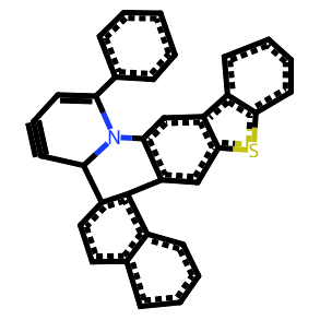 C1#CC2c3ccc4ccccc4c3-c3cc4sc5ccccc5c4cc3N2C(c2ccccc2)=C1